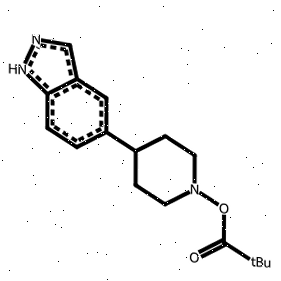 CC(C)(C)C(=O)ON1CCC(c2ccc3[nH]ncc3c2)CC1